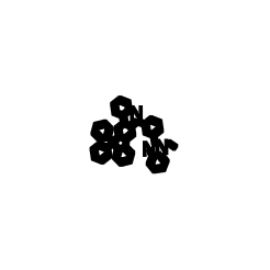 CCn1c(-c2cccc(-c3nc4ccccc4c4cc5c(cc34)-c3ccccc3C5(c3ccccc3)c3ccccc3)c2)nc2ccccc21